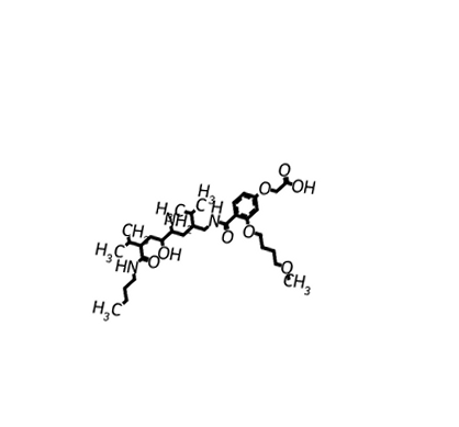 CCCCNC(=O)C(CC(O)C(N)CC(CNC(=O)c1ccc(OCC(=O)O)cc1OCCCCOC)C(C)C)C(C)C